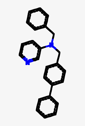 c1ccc(CN(Cc2ccc(-c3ccccc3)cc2)c2cccnc2)cc1